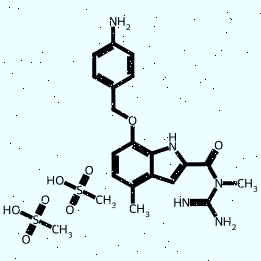 CS(=O)(=O)O.CS(=O)(=O)O.Cc1ccc(OCc2ccc(N)cc2)c2[nH]c(C(=O)N(C)C(=N)N)cc12